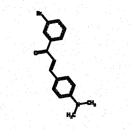 CN(C)c1ccc(C=CC(=O)c2cccc(Br)c2)cc1